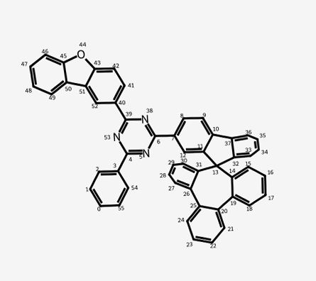 c1ccc(-c2nc(-c3ccc4c(c3)C3(c5ccccc5-c5ccccc5-c5ccccc53)c3ccccc3-4)nc(-c3ccc4oc5ccccc5c4c3)n2)cc1